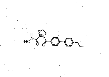 CCCc1ccc(-c2ccc(C(=O)N3CCS[C@@H]3C(=O)NO)cc2)cc1